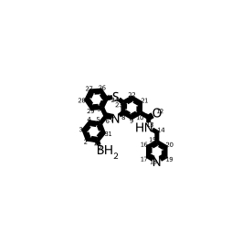 Bc1cccc(C2=Nc3cc(C(=O)NCc4ccncc4)ccc3Sc3ccccc32)c1